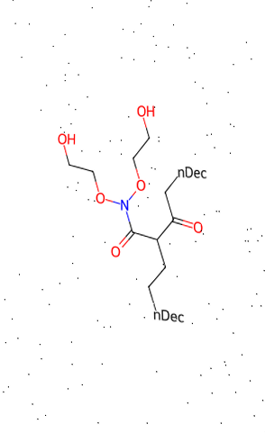 CCCCCCCCCCCCC(C(=O)CCCCCCCCCCC)C(=O)N(OCCO)OCCO